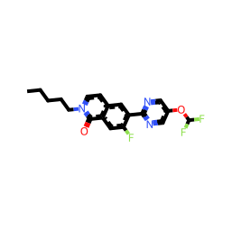 CCCCCn1ccc2cc(-c3ncc(OC(F)F)cn3)c(F)cc2c1=O